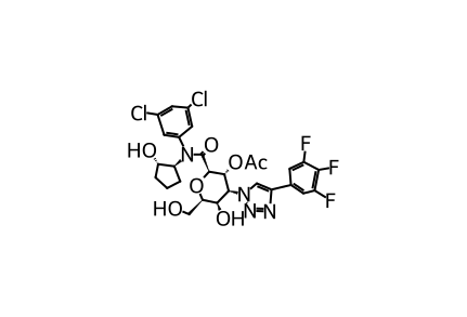 CC(=O)O[C@@H]1[C@@H](n2cc(-c3cc(F)c(F)c(F)c3)nn2)[C@@H](O)[C@@H](CO)O[C@H]1C(=O)N(c1cc(Cl)cc(Cl)c1)[C@H]1CCC[C@@H]1O